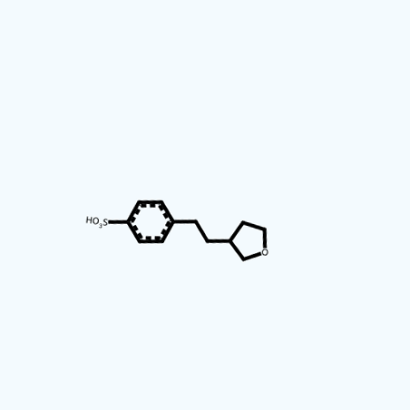 O=S(=O)(O)c1ccc(CCC2CCOC2)cc1